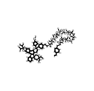 C=Cc1ccc(CC[Si](C)(C)O[Si](C)(C)O[Si](C)(C)O[Si](C)(C)O[Si](C)(C)O[Si](C)(C)O[Si](C)(C)O[Si](C)(C)O[Si](C)(C)O[Si](C)(C)O[Si](C)(C)O[Si](C)(C)O[Si](C)(C)CCc2ccc(C3(c4ccc(OC)cc4)C=Cc4c5c(c6cc7c(cc6c4O3)SC(C(C)C)(C(C)C)O7)-c3ccccc3C53CCC(CC)(CC)CC3)cc2)cc1